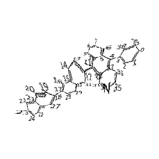 c1ccc(-c2c3ccccc3c(-c3ccc4cc(-c5ccc6ccccc6c5)ccc4c3)c3cnccc23)cc1